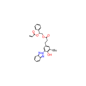 C=CC(=O)OC(COC(=O)CCc1cc(-n2nc3ccccc3n2)c(O)c(C(C)(C)C)c1)c1ccccc1